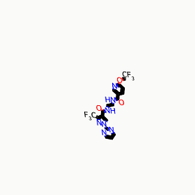 O=C(NCCNC(=O)c1cn(-c2ncccn2)nc1C(F)(F)F)c1ccc(OCC(F)(F)F)nc1